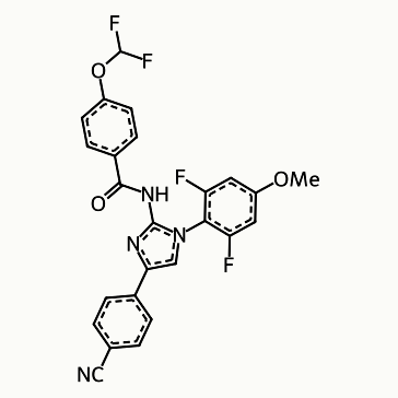 COc1cc(F)c(-n2cc(-c3ccc(C#N)cc3)nc2NC(=O)c2ccc(OC(F)F)cc2)c(F)c1